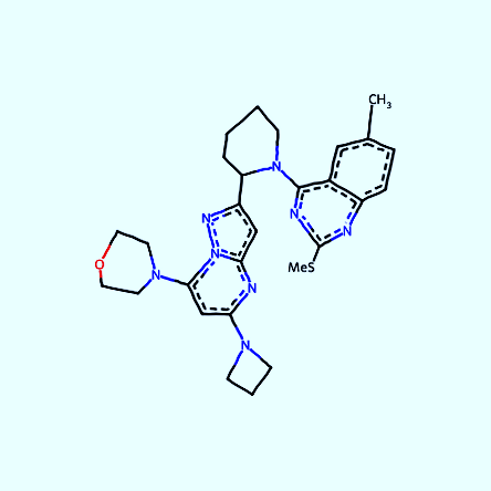 CSc1nc(N2CCCCC2c2cc3nc(N4CCC4)cc(N4CCOCC4)n3n2)c2cc(C)ccc2n1